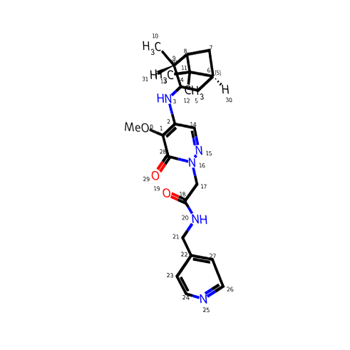 COc1c(NC2C[C@@H]3CC([C@H]2C)C3(C)C)cnn(CC(=O)NCc2ccncc2)c1=O